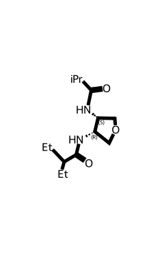 CCC(CC)C(=O)N[C@H]1COC[C@H]1NC(=O)C(C)C